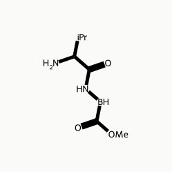 COC(=O)BNC(=O)C(N)C(C)C